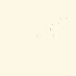 CC(C)(C)C(=O)ONC(=O)[C@@H](NC(=O)c1ccc(-c2ccccc2F)cc1)C(C)(O)C(F)F